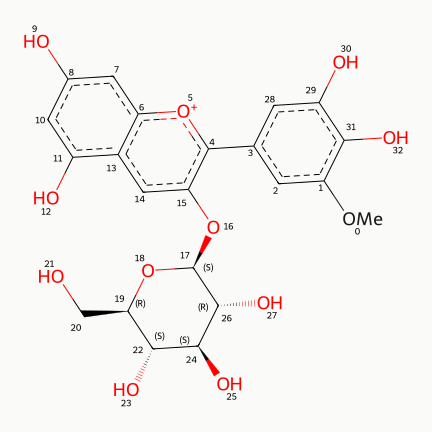 COc1cc(-c2[o+]c3cc(O)cc(O)c3cc2O[C@@H]2O[C@H](CO)[C@@H](O)[C@H](O)[C@H]2O)cc(O)c1O